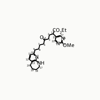 CCOC(=O)C(CCC(=O)CCCCc1ccc2c(n1)NCCCC2)c1cnc(OC)nc1